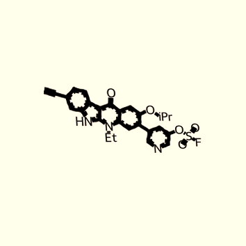 C#Cc1ccc2c(c1)[nH]c1c2c(=O)c2cc(OC(C)C)c(-c3cncc(OS(=O)(=O)F)c3)cc2n1CC